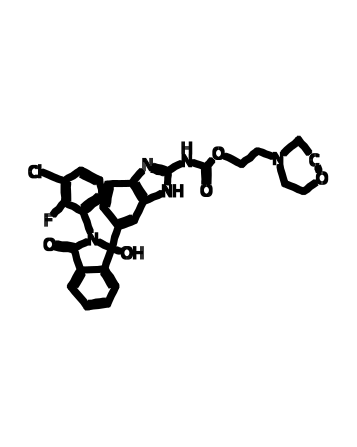 O=C(Nc1nc2ccc(C3(O)c4ccccc4C(=O)N3c3cccc(Cl)c3F)cc2[nH]1)OCCN1CCOCC1